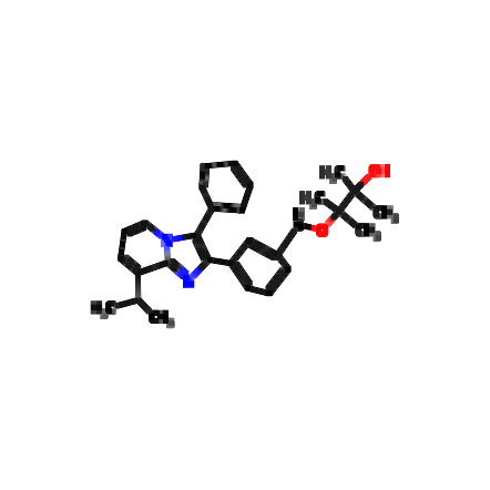 CC(C)c1cccn2c(-c3ccccc3)c(-c3cccc(BOC(C)(C)C(C)(C)O)c3)nc12